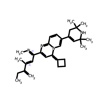 C=C(CC)/C(C)=C/C(=N\C)C1=CC(=C2CCC2)N2C=C(C3=CC(C)(C)NC(C)(C)C3)C=CC2=N1